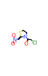 O=C(CCl)N1CCSC1=C[N+](=O)[O-]